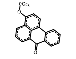 CCCCCCCCOc1ccc2c3c(cccc13)C(=O)c1ccccc1-2